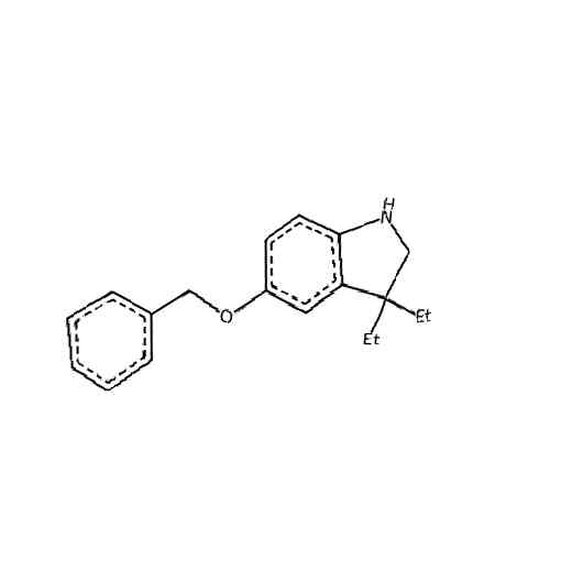 CCC1(CC)CNc2ccc(OCc3ccccc3)cc21